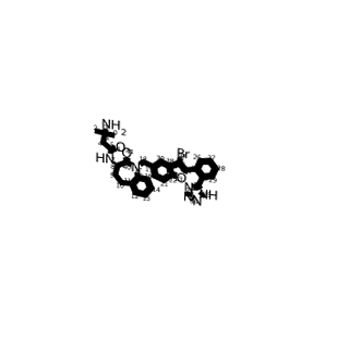 CC(C)(N)CC(=O)N[C@@H]1CCc2ccccc2N(Cc2ccc3oc(-c4ccccc4-c4nnn[nH]4)c(Br)c3c2)C1=O